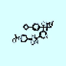 CC(=O)N1CCC(c2nc(-c3cncc(C(O)(c4ccc(C5CCC5)cc4)C4(C)CN(C)C4)c3)no2)CC1